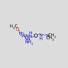 CCOCCN1CCN(c2cc(N)nc(NCc3ccc(CNCCCN(C)C)cc3)n2)CC1